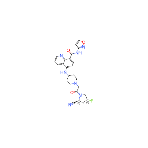 N#C[C@@H]1C[C@H](F)CN1C(=O)CN1CCC(Nc2ccc(C(=O)Nc3ccon3)c3ncccc23)CC1